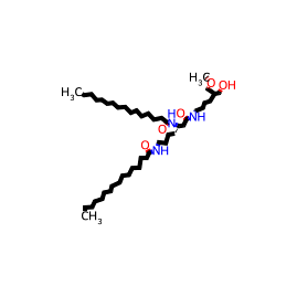 CCCCCCCCCCCCCCCC(=O)NCCCC[C@@H](CC(=O)NCCCCC(CO)COC)NC(=O)CCCCCCCCCCCCCCC